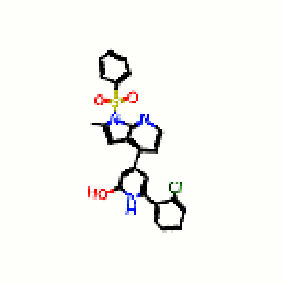 Cc1cc2c(C3=CC(O)NC(c4ccccc4Cl)=C3)ccnc2n1S(=O)(=O)c1ccccc1